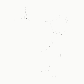 Cc1ccccc1.O=[N+]([O-])O.O=[N+]([O-])O.O=[N+]([O-])O